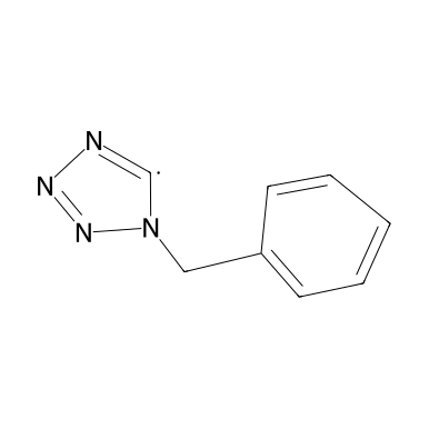 [c]1nnnn1Cc1ccccc1